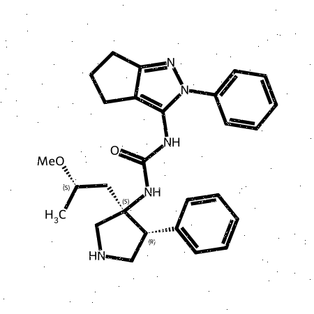 CO[C@@H](C)C[C@@]1(NC(=O)Nc2c3c(nn2-c2ccccc2)CCC3)CNC[C@H]1c1ccccc1